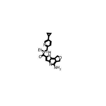 CCN(C(=O)c1cc2nc(N)c3c(c2[nH]1)COC3)[C@@H](C)c1ccc(C2CC2)cn1